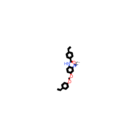 [C-]#[N+]c1cc(OCOc2ccc(C=C)cc2)ccc1NC(=O)c1ccc(C=C)cc1